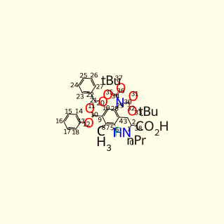 CCCNC(Cc1c(F)c(C)c(C(=O)Oc2ccccc2)c(OCc2ccccc2)c1N(C(=O)OC(C)(C)C)C(=O)OC(C)(C)C)C(=O)O